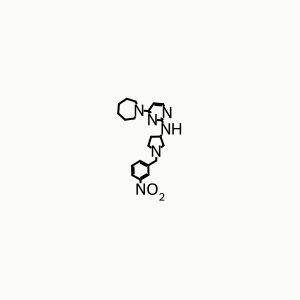 O=[N+]([O-])c1cccc(CN2CCC(Nc3nccc(N4CCCCCC4)n3)C2)c1